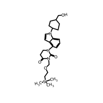 C[Si](C)(C)CCOCN1C(=O)CCN(c2cccc3c2ccn3C2CCC(CO)CC2)C1=O